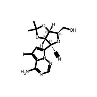 CC1(C)O[C@H]2[C@@H](O1)[C@](C#N)(c1cc(I)c3c(N)ncnn13)O[C@@H]2CO